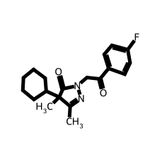 CC1=NN(CC(=O)c2ccc(F)cc2)C(=O)C1(C)C1CCCCC1